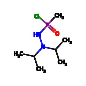 CC(C)N(NP(C)(=O)Cl)C(C)C